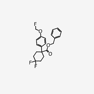 O=C(OCc1ccccc1)C1(c2ccc(OCF)cc2)CCC(F)(F)CC1